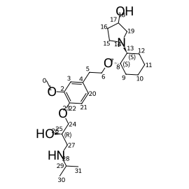 COc1cc(CCO[C@H]2CCCC[C@@H]2N2CCC(O)C2)ccc1OC[C@H](O)CNC(C)C